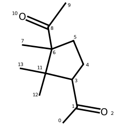 CC(=O)C1CCC(C)(C(C)=O)C1(C)C